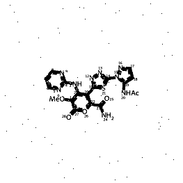 COc1c(Nc2ncccn2)c(-c2nnc(-n3nccc3NC(C)=O)s2)c(C(N)=O)oc1=O